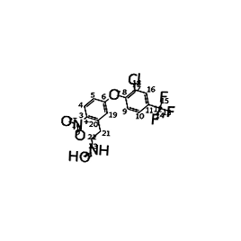 O=[N+]([O-])c1ccc(Oc2ccc(C(F)(F)F)cc2Cl)cc1CCNO